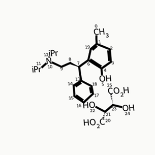 Cc1ccc(O)c([C@H](CCN(C(C)C)C(C)C)c2ccccc2)c1.O=C(O)[C@H](O)[C@@H](O)C(=O)O